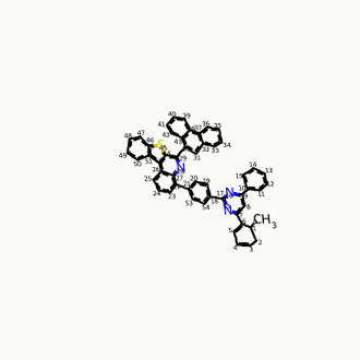 CC1CC=CC=C1c1cc(-c2ccccc2)nc(-c2ccc(-c3cccc4c3nc(-c3cc5ccccc5c5ccccc35)c3sc5ccccc5c34)cc2)n1